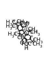 CC(C)(C)c1cc2c(c(C=O)c1O)C1(CC2(C)C)CC(C)(C)c2cc(C(C)(C)C)c(O)c(C=O)c21